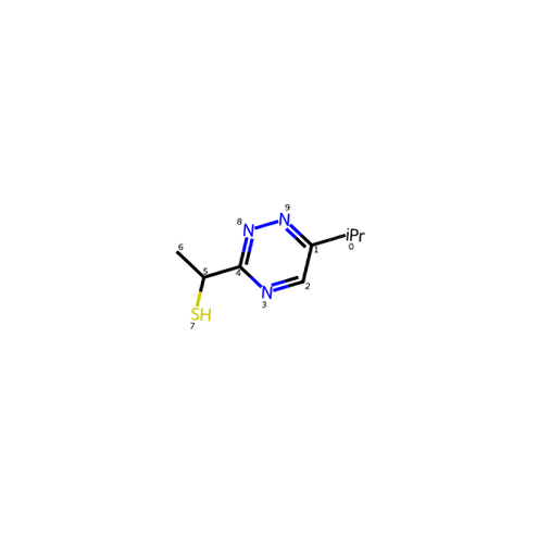 CC(C)c1cnc(C(C)S)nn1